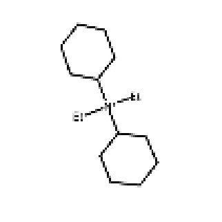 CC[N+](CC)(C1CCCCC1)C1CCCCC1